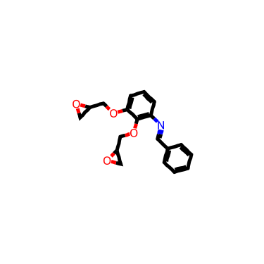 C(=Nc1cccc(OCC2CO2)c1OCC1CO1)c1ccccc1